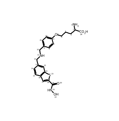 NC(CCCOc1ccc(CNCc2ccc3cc(C(=O)NO)sc3c2)cc1)C(=O)O